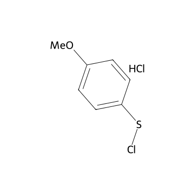 COc1ccc(SCl)cc1.Cl